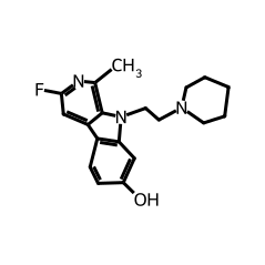 Cc1nc(F)cc2c3ccc(O)cc3n(CCN3CCCCC3)c12